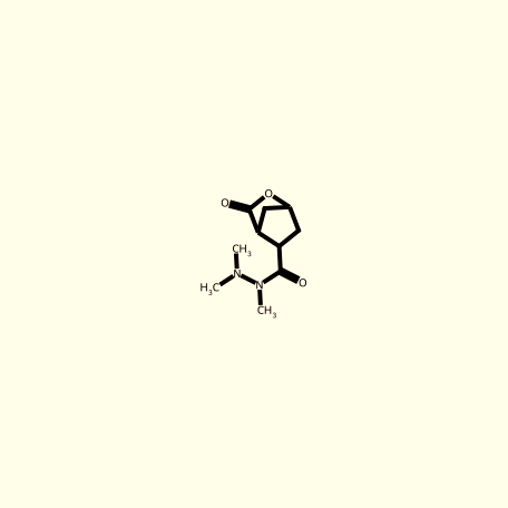 CN(C)N(C)C(=O)C1CC2CC1C(=O)O2